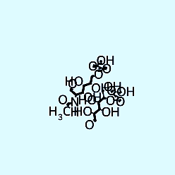 CC(=O)N[C@@H](C=O)[C@@H](O)[C@H](O)[C@H](O)COS(=O)(=O)O.O=C[C@H](O)[C@@H](O)[C@@H](O)[C@@H](CO)OS(=O)(=O)O